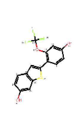 Oc1ccc2cc(-c3ccc(Br)cc3OC(F)(F)F)sc2c1